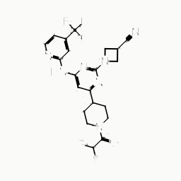 N#CC1CN(c2nc(Nc3cc(C(F)(F)F)ccn3)cc(C3CCN(C(=O)C(F)F)CC3)n2)C1